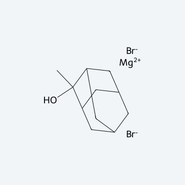 CC1(O)C2CC3CC(C2)CC1C3.[Br-].[Br-].[Mg+2]